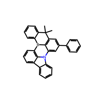 CC1(C)c2ccccc2B2c3c(cc(-c4ccccc4)cc31)-n1c3ccccc3c3cccc2c31